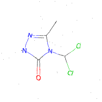 CC1=N[N]C(=O)N1C(Cl)Cl